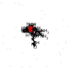 CCN(CCCC(C)Nc1ccnc2cc(Cl)ccc12)CCOC(=O)NC(=N)NCCC[C@H](NC(=O)[C@H](CCCCN)NC(=O)[C@@H](N)CCC(N)=O)C(=O)N[C@@H](C)C(=O)N[C@@H](C)C(=O)N[C@@H](Cc1ccc(O)cc1)C(=O)N[C@@H](CC(=O)O)C(=O)N[C@@H](CCC(N)=O)C(=O)N[C@@H](Cc1ccc(O)cc1)C(=O)NCC(=O)N[C@@H](Cc1cnc[nH]1)C(=O)N[C@@H](C)C(=O)N[C@@H](C)C(=O)N[C@@H](Cc1ccccc1)C(=O)NC(CCC(=O)O)C(N)=O